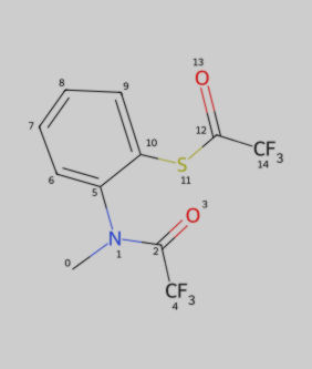 CN(C(=O)C(F)(F)F)c1ccccc1SC(=O)C(F)(F)F